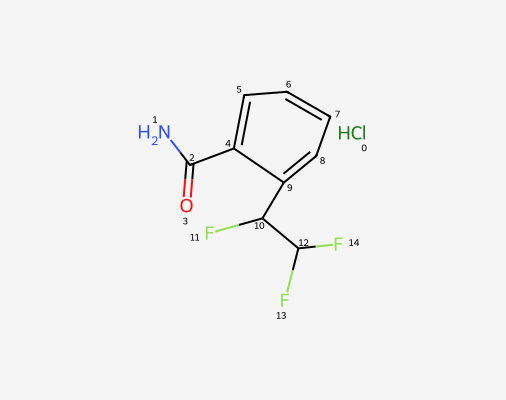 Cl.NC(=O)c1ccccc1C(F)C(F)F